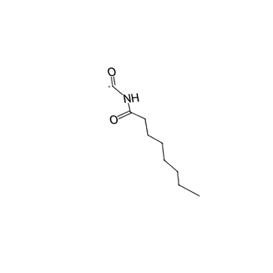 CCCCCCCC(=O)N[C]=O